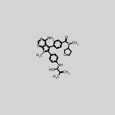 C=C(C)C(O)Nc1ccc(-c2c(-c3ccc(C(=O)N(C)C4CCOC4)cc3)c3c(N)ncnc3n2C)cc1